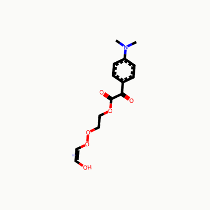 CN(C)c1ccc(C(=O)C(=O)OCCOO/C=C\O)cc1